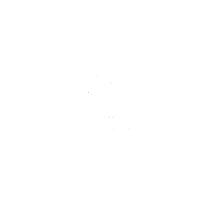 CC(C)(C)OC(=O)Nc1cccc(CSc2ncc(Cl)cc2[N+](=O)[O-])c1